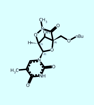 CCCCOC[C@]12O[C@@H](n3cc(C)c(=O)[nH]c3=O)[C@@H](ON(C)C1=O)C2O